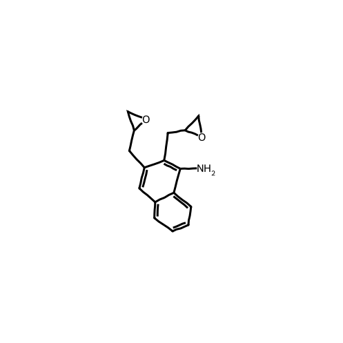 Nc1c(CC2CO2)c(CC2CO2)cc2ccccc12